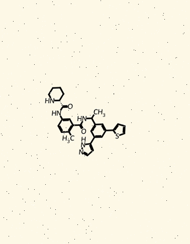 Cc1ccc(NC(=O)[C@H]2CCCCN2)cc1C(=O)NC(C)c1cc(-c2ccn[nH]2)cc(-c2cccs2)c1